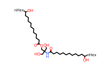 CCCCCCC(O)CCCCCCCCCCC(=O)NC(CO)(CO)COC(=O)CCCCCCCCCCC(O)CCCCCC